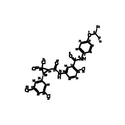 O=C(Nc1ccc(OC(F)F)cc1)c1cc(NC(=O)[C@H]2[C@H](c3cc(Cl)cc(Cl)c3)C2(Cl)Cl)ccc1Cl